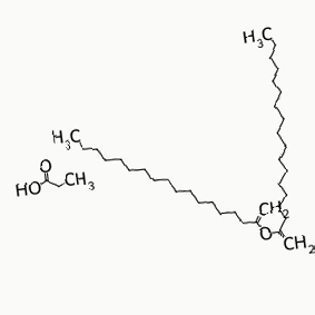 C=C(CCCCCCCCCCCCCCCC)OC(=C)CCCCCCCCCCCCCCCC.CCC(=O)O